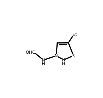 CCC1=CN(NC=O)NS1